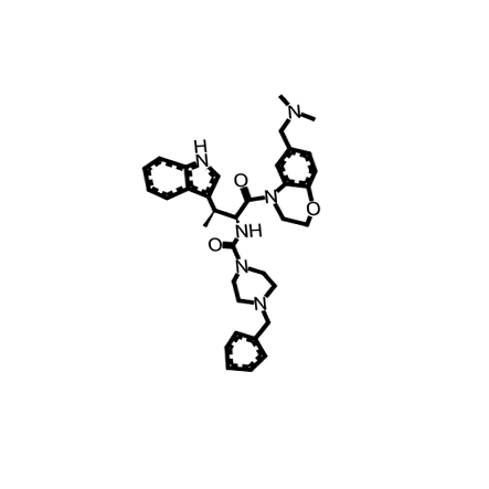 C[C@@H](c1c[nH]c2ccccc12)[C@@H](NC(=O)N1CCN(Cc2ccccc2)CC1)C(=O)N1CCOc2ccc(CN(C)C)cc21